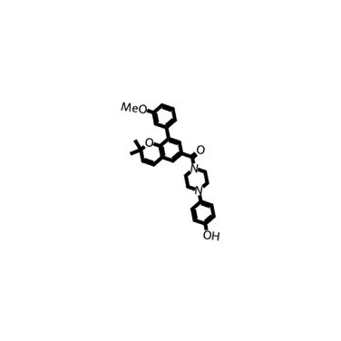 COc1cccc(-c2cc(C(=O)N3CCN(c4ccc(O)cc4)CC3)cc3c2OC(C)(C)C=C3)c1